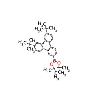 CC(C)(C)c1ccc2c3ccc(B4OC(C)(C)C(C)(C)O4)cc3c3ccc(C(C)(C)C)cc3c2c1